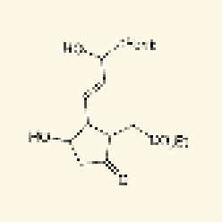 CCCCCC(O)C=CC1C(O)CC(=O)C1CC(=O)OCC